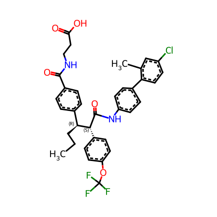 CCC[C@@H](c1ccc(C(=O)NCCC(=O)O)cc1)[C@H](C(=O)Nc1ccc(-c2ccc(Cl)cc2C)cc1)c1ccc(OC(F)(F)F)cc1